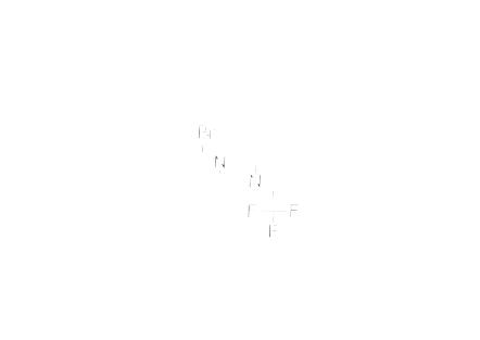 FC(F)(F)CN1CCN(CBr)CC1